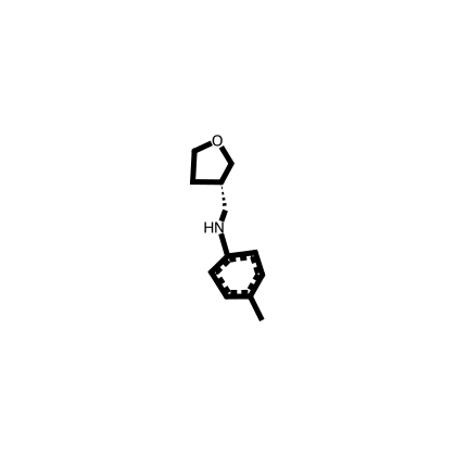 Cc1ccc(NC[C@@H]2CCOC2)cc1